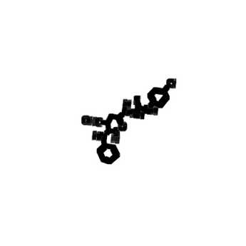 O=CC(CC(=O)NNC(=S)Nc1ccc(Cl)cc1)C(S)Nc1ccccc1